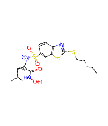 CCCCCSc1nc2ccc(S(=O)(=O)N[C@H](CC(C)C)C(=O)NO)cc2s1